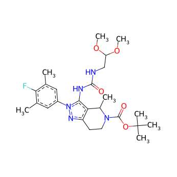 COC(CNC(=O)Nc1c2c(nn1-c1cc(C)c(F)c(C)c1)CCN(C(=O)OC(C)(C)C)C2C)OC